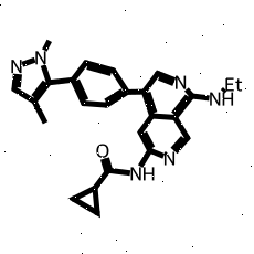 CCNc1ncc(-c2ccc(-c3c(C)cnn3C)cc2)c2cc(NC(=O)C3CC3)ncc12